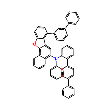 c1ccc(-c2ccc(-c3ccccc3N(c3ccccc3)c3cc4c(oc5cccc(-c6cccc(-c7ccccc7)c6)c54)c4ccccc34)cc2)cc1